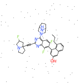 CCCc1cccc2cc(O)cc(-c3c(F)cc4c(N5CC6CCC(C5)N6)nc(C#CC56CCCN5CC(F)C6)nc4c3F)c12